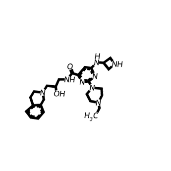 CCN1CCN(c2nc(NC3CNC3)cc(C(=O)NCC(O)CN3CCc4ccccc4C3)n2)CC1